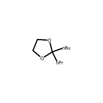 CCCCC1(CCC)OCCO1